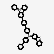 c1ccc(-c2ccc(N(c3ccc(-c4ccc(-c5ccc6c(c5)c5ccccc5n6-c5ccccc5)cc4)cc3)c3ccc4sc5ccccc5c4c3)cc2)cc1